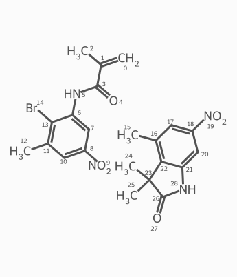 C=C(C)C(=O)Nc1cc([N+](=O)[O-])cc(C)c1Br.Cc1cc([N+](=O)[O-])cc2c1C(C)(C)C(=O)N2